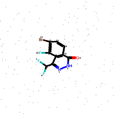 O=c1[nH]nc(C(F)F)c2c(F)c(Br)ccc12